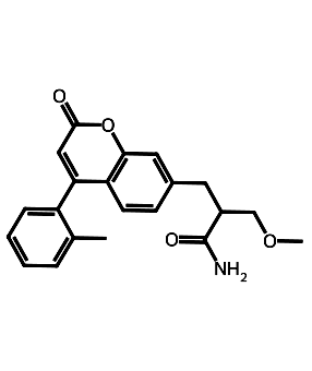 COCC(Cc1ccc2c(-c3ccccc3C)cc(=O)oc2c1)C(N)=O